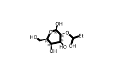 CCC(O)O[C@@H]1[C@@H](O)[C@@H](O)[C@@H](CO)O[C@H]1O